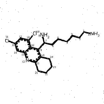 NCCCCCCC(N)c1c2c(nc3cc(Cl)cc(Cl)c13)CCCC2